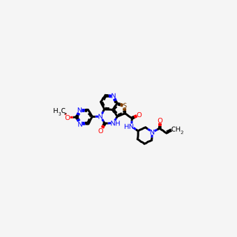 C=CC(=O)N1CCCC(NC(=O)c2sc3nccc4c3c2NC(=O)N4c2cnc(OC)nc2)C1